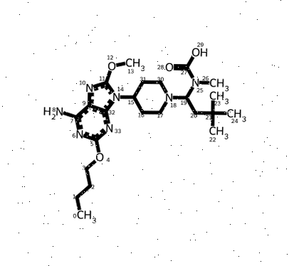 CCCCOc1nc(N)c2nc(OC)n(C3CCN(C(CC(C)(C)C)N(C)C(=O)O)CC3)c2n1